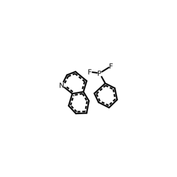 FP(F)c1ccccc1.c1ccc2ncccc2c1